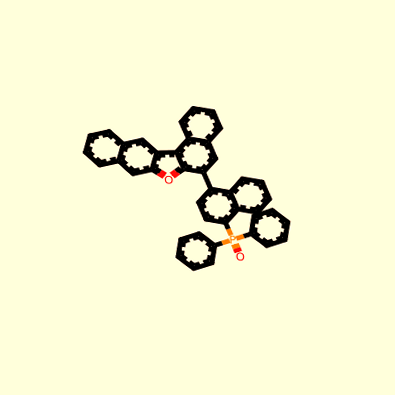 O=P(c1ccccc1)(c1ccccc1)c1ccc(-c2cc3ccccc3c3c2oc2cc4ccccc4cc23)c2ccccc12